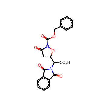 O=C(O)[C@H]([C@@H]1CC(=O)N(C(=O)OCc2ccccc2)O1)N1C(=O)c2ccccc2C1=O